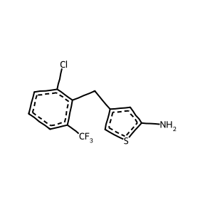 Nc1cc(Cc2c(Cl)cccc2C(F)(F)F)cs1